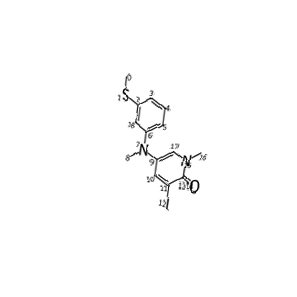 CSc1cccc(N(C)c2cc(I)c(=O)n(C)c2)c1